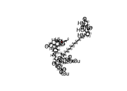 CC#C[C@]12CC[C@H]3[C@@H]4CCC5=CC(=O)CCC5=C4[C@@H](c4ccc(N(C)CCCC(=O)N5CCN(C(=O)OC(C)(C)C)CC5C(=O)N5CCN(C(=O)OC(C)(C)C)CC5C(=O)N(C)CCCCCCCCCCCCCNc5cccc6c5C(O)N(C5CCC(=O)NC5=O)C6=O)cc4)C[C@@]31CO2